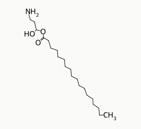 CCCCCCCCCCCCCCCCCC(=O)OC(O)CCN